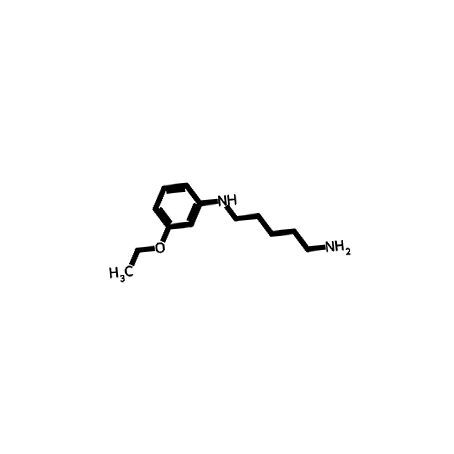 CCOc1cccc(NCCCCCN)c1